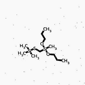 CCCO[Si](C)(CS[Si](C)(C)C)OCCC